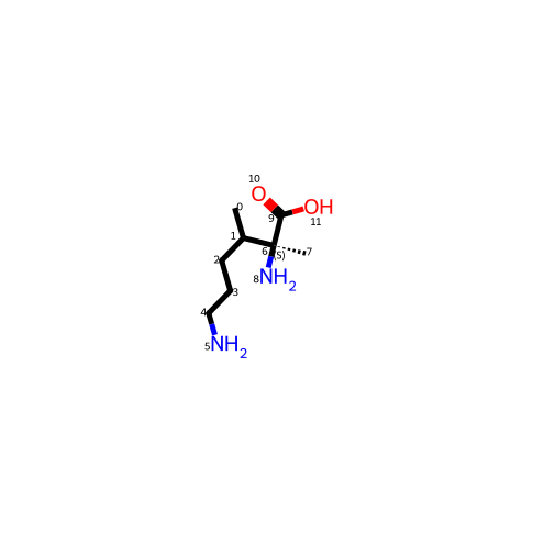 CC(CCCN)[C@](C)(N)C(=O)O